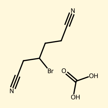 N#CCCC(Br)CC#N.O=C(O)O